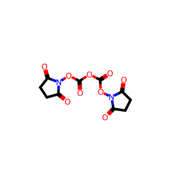 O=C(OC(=O)ON1C(=O)CCC1=O)ON1C(=O)CCC1=O